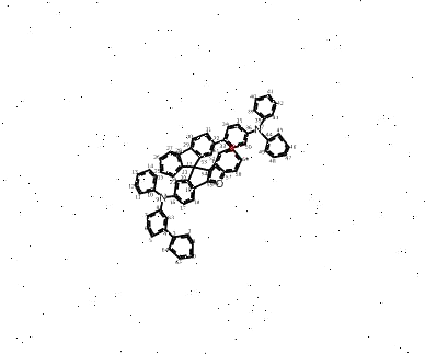 c1ccc(-c2cccc(N(c3ccccc3)c3ccc4c(c3)C3(c5ccccc5-c5ccc(-c6ccc(N(c7ccccc7)c7ccccc7)cc6)cc53)c3c-4oc4ccccc34)c2)cc1